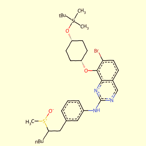 CCCCC(Cc1cccc(Nc2ncc3ccc(Br)c(O[C@H]4CC[C@@H](O[Si](C)(C)C(C)(C)C)CC4)c3n2)c1)[S+](C)[O-]